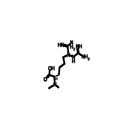 CN(C)[C@@H](CCCCN(NC(=N)N)C(=N)N)C(=O)O